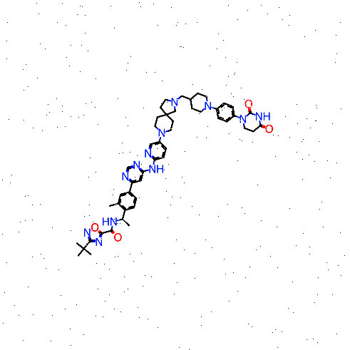 Cc1cc(-c2cc(Nc3ccc(N4CCC5(CCN(CC6CCN(c7ccc(N8CCC(=O)NC8=O)cc7)CC6)C5)CC4)cn3)ncn2)ccc1[C@@H](C)NC(=O)c1nc(C(C)(C)C)no1